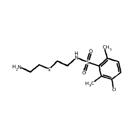 Cc1ccc(Cl)c(C)c1S(=O)(=O)NCCSCCN